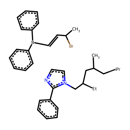 CC(Br)C=CB(c1ccccc1)c1ccccc1.CCC(CC(C)CC(C)C)Cn1ccnc1-c1ccccc1